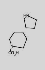 C1CCNC1.O=C(O)N1CCCCC1